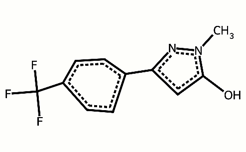 Cn1nc(-c2ccc(C(F)(F)F)cc2)cc1O